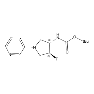 CC(C)(C)OC(=O)N[C@H]1CN(c2cccnc2)C[C@@H]1F